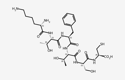 C[C@@H](O)[C@H](NC(=O)[C@H](Cc1ccccc1)NC(=O)[C@@H](NC(=O)[C@@H](N)CCCCN)[C@@H](C)O)C(=O)N[C@@H](CO)C(=O)N[C@@H](CS)C(=O)O